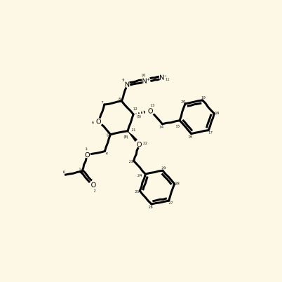 CC(=O)OCC1OCC(N=[N+]=[N-])[C@H](OCc2ccccc2)[C@H]1OCc1ccccc1